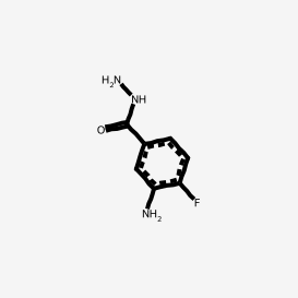 NNC(=O)c1ccc(F)c(N)c1